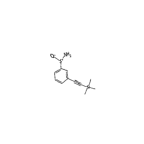 C[Si](C)(C)C#Cc1cccc([S+](N)[O-])c1